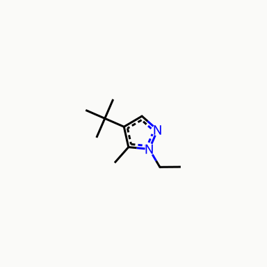 CCn1ncc(C(C)(C)C)c1C